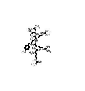 CC(C)C[C@H](NC(=O)[C@H](CCCNC(=N)N)NC(=O)[C@H](Cc1ccc(O)cc1)NC(=O)[C@H](CCCNC(=N)N)NC(=O)[C@@H](N)CCCNC(=N)N)C(=O)O